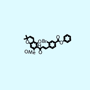 COc1cc2c(c(O)c1C(=O)/C=C/c1ccc(C(=O)Oc3ccccc3)cc1Br)C=CC(C)(C)O2